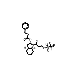 O=C(OCc1ccccc1)O[C@H]1C[C@@H]2CCCC[C@@H]2N1C(=O)CCOS(=O)(=O)C(F)(F)F